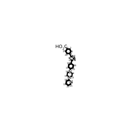 O=C(O)c1ccc(-c2nnc(-c3ccc(N4CCN(c5ccccn5)CC4)cc3)s2)cc1